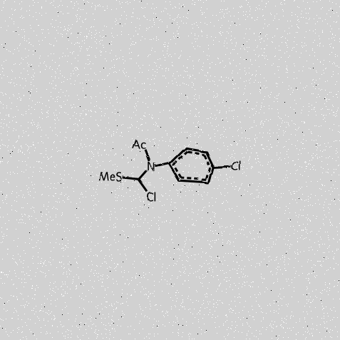 CSC(Cl)N(C(C)=O)c1ccc(Cl)cc1